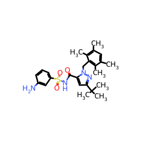 Cc1cc(C)c(C)c(Cn2nc(C(C)(C)C)cc2C(=O)NS(=O)(=O)c2cccc(N)c2)c1C